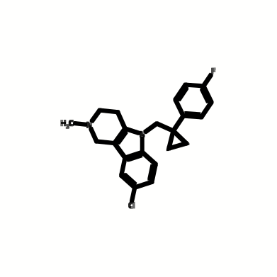 CN1CCc2c(c3cc(Cl)ccc3n2CC2(c3ccc(F)cc3)CC2)C1